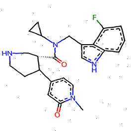 Cn1ccc(C2CCNC[C@@H]2C(=O)N(Cc2c[nH]c3cccc(F)c23)C2CC2)cc1=O